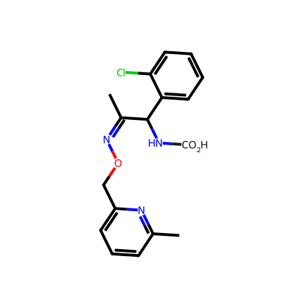 CC(=NOCc1cccc(C)n1)C(NC(=O)O)c1ccccc1Cl